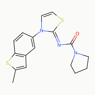 Cc1cc2cc(-n3ccsc3=NC(=O)N3CCCC3)ccc2s1